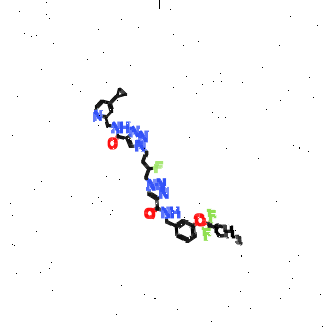 CC(F)(F)Oc1cccc(CNC(=O)c2cn(CC(F)CCn3cc(C(=O)NCc4cc(C5CC5)ccn4)nn3)nn2)c1